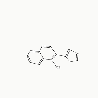 N#Cc1c(C2=CC=CC2)ccc2ccccc12